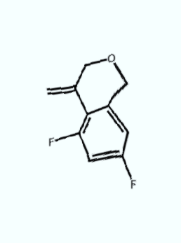 C=C1COCc2cc(F)cc(F)c21